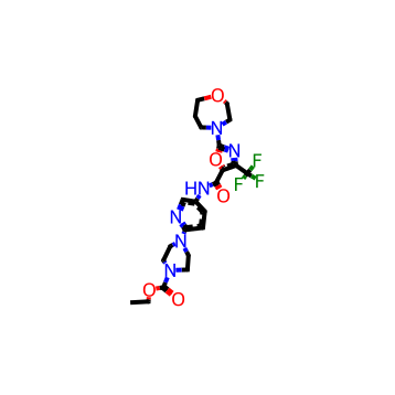 CCOC(=O)N1CCN(c2ccc(NC(=O)c3oc(N4CCCOCC4)nc3C(F)(F)F)cn2)CC1